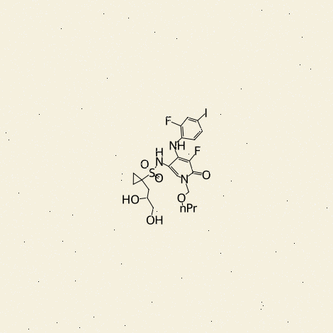 CCCOCn1cc(NS(=O)(=O)C2(CC(O)CO)CC2)c(Nc2ccc(I)cc2F)c(F)c1=O